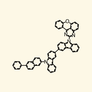 c1ccc(-c2ccc3cc(-n4c5ccccc5c5cc(-c6ccc7c(c6)c6ccccc6n7-c6nc7c8c(cccc8n6)Oc6ccccc6-7)ccc54)ccc3c2)cc1